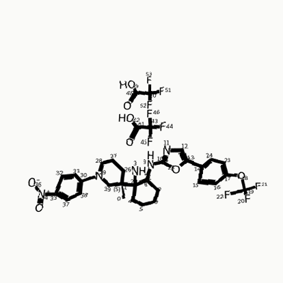 C[C@]1(C2(N)CCCCC2Nc2ncc(-c3ccc(OC(F)(F)F)cc3)o2)CCCN(c2ccc([N+](=O)[O-])cc2)C1.O=C(O)C(F)(F)F.O=C(O)C(F)(F)F